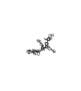 CCc1cc(O)c(F)cc1-c1ccc2c(-c3nc(CNC(=O)c4cnc(N5CCOCC5)cn4)cn3COCC[Si](C)(C)C)nn(COCC[Si](C)(C)C)c2c1